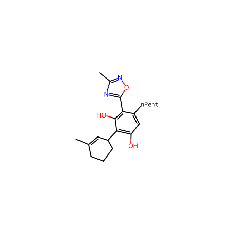 CCCCCc1cc(O)c(C2C=C(C)CCC2)c(O)c1-c1nc(C)no1